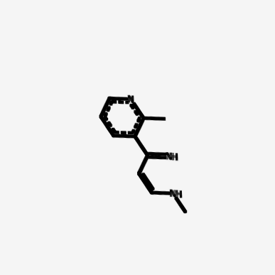 CN/C=C\C(=N)c1cccnc1C